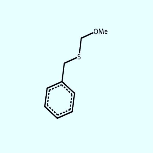 [CH2]OCSCc1ccccc1